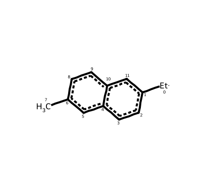 C[CH]c1ccc2cc(C)ccc2c1